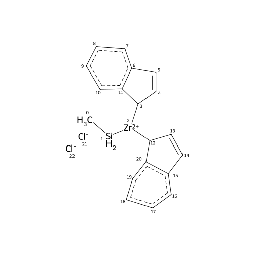 C[SiH2][Zr+2]([CH]1C=Cc2ccccc21)[CH]1C=Cc2ccccc21.[Cl-].[Cl-]